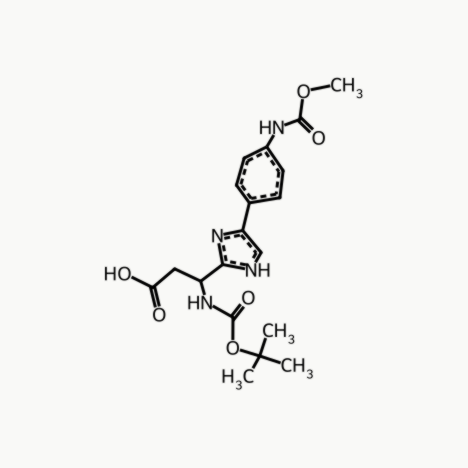 COC(=O)Nc1ccc(-c2c[nH]c(C(CC(=O)O)NC(=O)OC(C)(C)C)n2)cc1